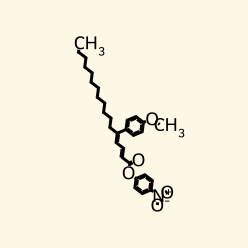 CCCCCCCCCCCCC(=CC=CC(=O)Oc1ccc([N+](=O)[O-])cc1)c1ccc(OC)cc1